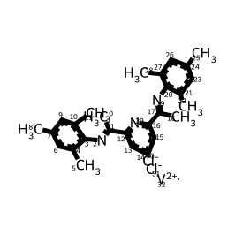 CC(=Nc1c(C)cc(C)cc1C)c1cccc(C(C)=Nc2c(C)cc(C)cc2C)n1.[Cl-].[Cl-].[V+2]